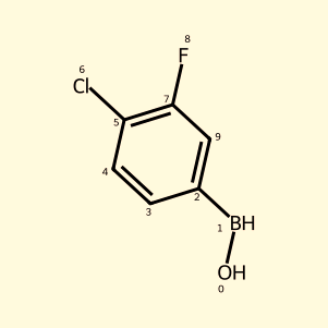 OBc1ccc(Cl)c(F)c1